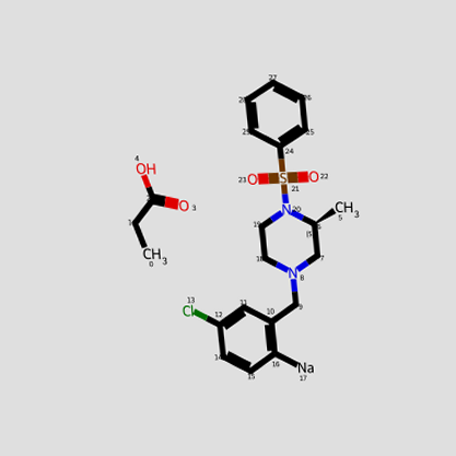 CCC(=O)O.C[C@H]1CN(Cc2cc(Cl)cc[c]2[Na])CCN1S(=O)(=O)c1ccccc1